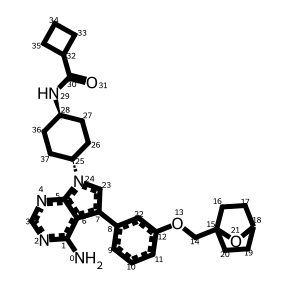 Nc1ncnc2c1c(-c1cccc(OCC34CCC(CC3)O4)c1)cn2[C@H]1CC[C@H](NC(=O)C2CCC2)CC1